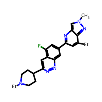 CCc1cc(-c2cc(F)c3cc(C4CCN(CC)CC4)nnc3c2)nc2cn(C)nc12